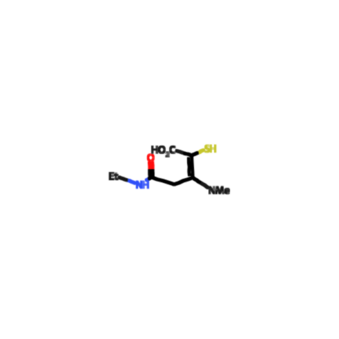 CCNC(=O)C/C(NC)=C(/S)C(=O)O